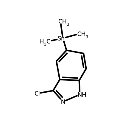 [CH3][Sn]([CH3])([CH3])[c]1ccc2[nH]nc(Cl)c2c1